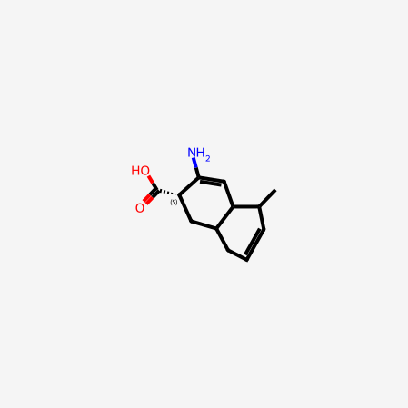 CC1C=CCC2C[C@H](C(=O)O)C(N)=CC12